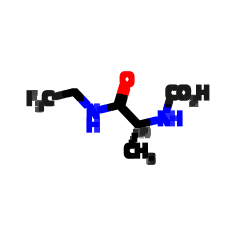 C[C@@H](NC(=O)O)C(=O)NCC(F)(F)F